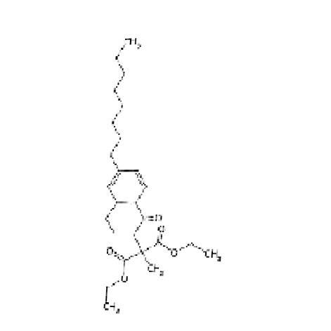 CCCCCCCCc1ccc2c(c1)CCC(C(C)(C(=O)OCC)C(=O)OCC)C2=O